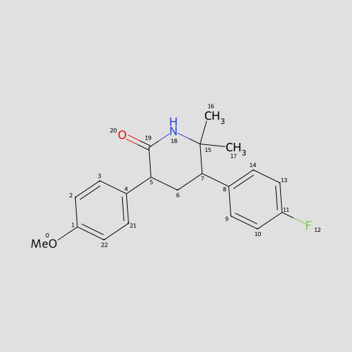 COc1ccc(C2CC(c3ccc(F)cc3)C(C)(C)NC2=O)cc1